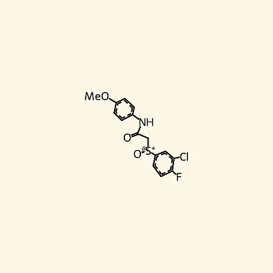 COc1ccc(NC(=O)C[S@+]([O-])c2ccc(F)c(Cl)c2)cc1